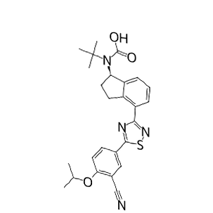 CC(C)Oc1ccc(-c2nc(-c3cccc4c3CC[C@H]4N(C(=O)O)C(C)(C)C)ns2)cc1C#N